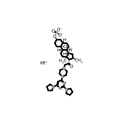 C[C@@H]1C[C@H]2[C@@H]3CC[C@H]4C[C@H](OP(=O)([O-])[O-])CC[C@]4(C)[C@H]3CC[C@]2(C)[C@H]1C(=O)CN1CCN(c2cc(N3CCCC3)nc(N3CCCC3)n2)CC1.[K+].[K+]